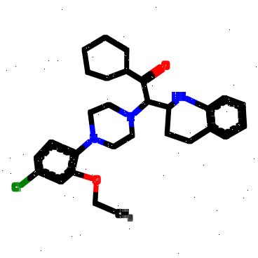 CCOc1cc(Cl)ccc1N1CCN(C(C(=O)C2CCCCC2)C2CCc3ccccc3N2)CC1